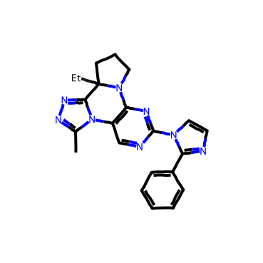 CCC12CCCN1c1nc(-n3ccnc3-c3ccccc3)ncc1-n1c(C)nnc12